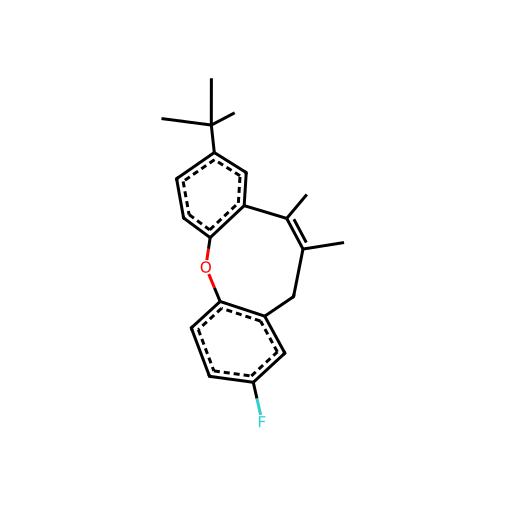 C/C1=C(\C)c2cc(C(C)(C)C)ccc2Oc2ccc(F)cc2C1